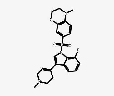 CN1CC=C(c2cn(S(=O)(=O)c3ccc4c(c3)OCCN4C)c3c(F)cccc23)CC1